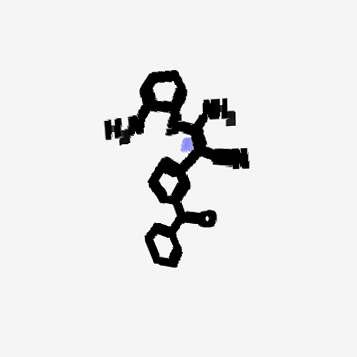 N#C/C(=C(\N)Sc1ccccc1N)c1cccc(C(=O)c2ccccc2)c1